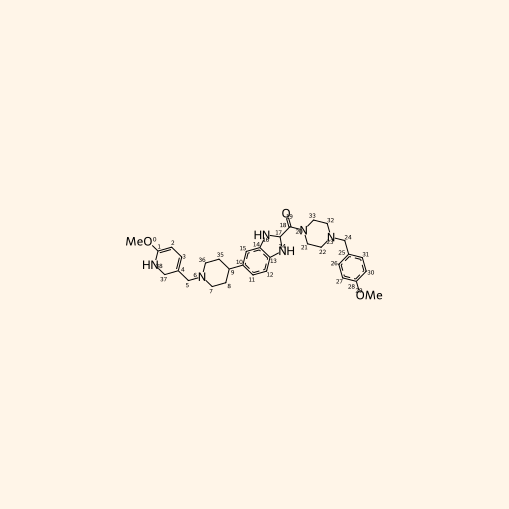 COC1=CC=C(CN2CCC(c3ccc4c(c3)NC(C(=O)N3CCN(Cc5ccc(OC)cc5)CC3)N4)CC2)CN1